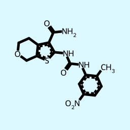 Cc1ccc([N+](=O)[O-])cc1NC(=O)Nc1sc2c(c1C(N)=O)CCOC2